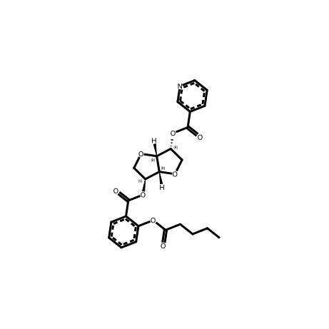 CCCCC(=O)Oc1ccccc1C(=O)O[C@H]1CO[C@H]2[C@@H]1OC[C@H]2OC(=O)c1cccnc1